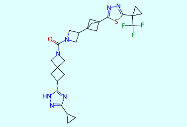 O=C(N1CC(C23CC(c4nnc(C5(C(F)(F)F)CC5)s4)(C2)C3)C1)N1CC2(CC(c3nc(C4CC4)n[nH]3)C2)C1